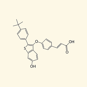 CC(C)(C)c1ccc(-c2sc3cc(O)ccc3c2Oc2ccc(C=CC(=O)O)cc2)cc1